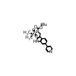 CN(C)S(=O)(=O)N(Cc1c[nH]c2cc(-c3ccncc3)ccc12)C(=O)OC(C)(C)C